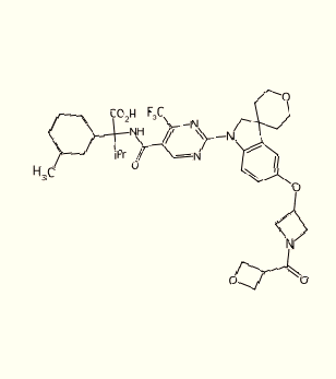 CC1CCCC(C(NC(=O)c2cnc(N3CC4(CCOCC4)c4cc(OC5CN(C(=O)C6COC6)C5)ccc43)nc2C(F)(F)F)(C(=O)O)C(C)C)C1